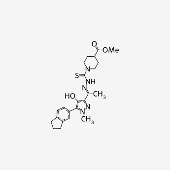 COC(=O)C1CCN(C(=S)NN=C(C)c2nn(C)c(-c3ccc4c(c3)CCC4)c2O)CC1